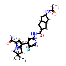 CC(=O)NC1CC2CC(C(=O)Nc3cc(-c4cc(C(N)=O)n5c4CC(C)(C)C5)c(F)cn3)CC2C1